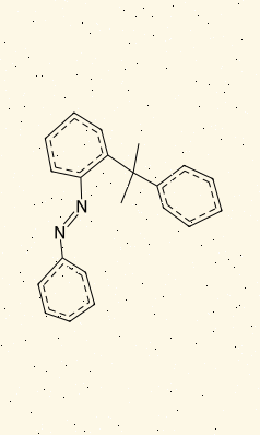 CC(C)(c1ccccc1)c1ccccc1N=Nc1ccccc1